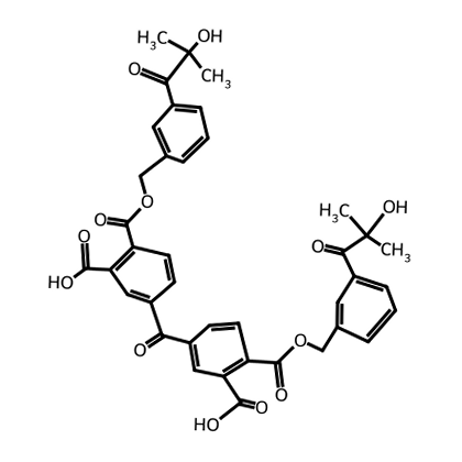 CC(C)(O)C(=O)c1cccc(COC(=O)c2ccc(C(=O)c3ccc(C(=O)OCc4cccc(C(=O)C(C)(C)O)c4)c(C(=O)O)c3)cc2C(=O)O)c1